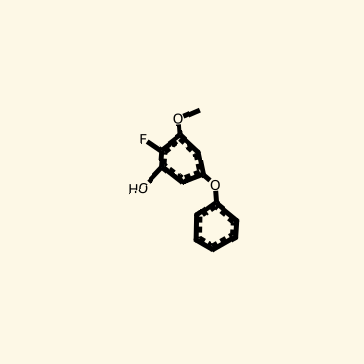 COc1cc(Oc2ccccc2)cc(O)c1F